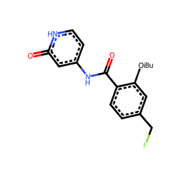 CC(C)COc1cc(CF)ccc1C(=O)Nc1cc[nH]c(=O)c1